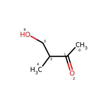 CC(=O)C(C)CO